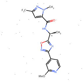 COc1cc(-c2noc([C@H](C)NC(=O)c3cc(C(F)(F)F)nn3C)n2)ccn1